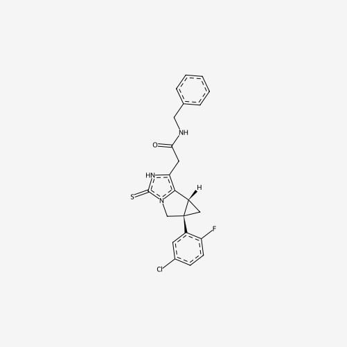 O=C(Cc1[nH]c(=S)n2c1[C@@H]1C[C@]1(c1cc(Cl)ccc1F)C2)NCc1ccccc1